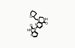 O=C1NCCN(CC2CCCCO2)c2nc(-n3c(=O)[nH]c4ncccc43)ccc21